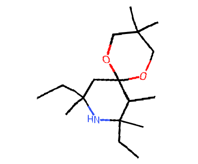 CCC1(C)CC2(OCC(C)(C)CO2)C(C)C(C)(CC)N1